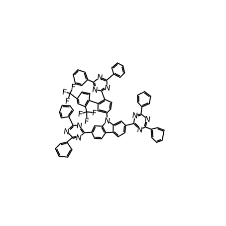 FC(F)(F)c1ccc(-c2cc(-n3c4cc(-c5nc(-c6ccccc6)nc(-c6ccccc6)n5)ccc4c4ccc(-c5nc(-c6ccccc6)nc(-c6ccccc6)n5)cc43)ccc2-c2nc(-c3ccccc3)nc(-c3ccccc3)n2)c(C(F)(F)F)c1